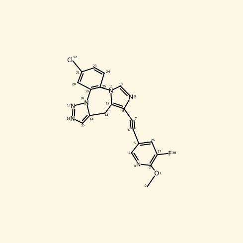 COc1ncc(C#Cc2ncn3c2Cc2cnnn2-c2cc(Cl)ccc2-3)cc1F